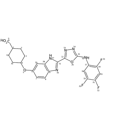 O=C(O)C1CCC(Oc2ccc3nc(-c4nnc(Nc5cc(F)c(F)cc5F)o4)[nH]c3c2)CC1